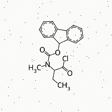 CCC(C(=O)Cl)N(C)C(=O)OC1c2ccccc2-c2ccccc21